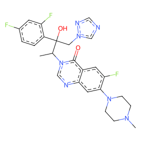 CC(n1cnc2cc(N3CCN(C)CC3)c(F)cc2c1=O)C(O)(Cn1cncn1)c1ccc(F)cc1F